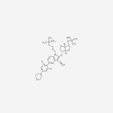 C#Cc1c(O[C@@H]2CO[C@@H]3C(O[Si](C)(C)C(C)(C)C)CO[C@@H]32)n(COCC[Si](C)(C)C)c2ccc(-c3c(F)cc(N4CCOCC4)cc3F)nc12